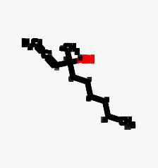 C=C=CC(C)(O)CCCCCC